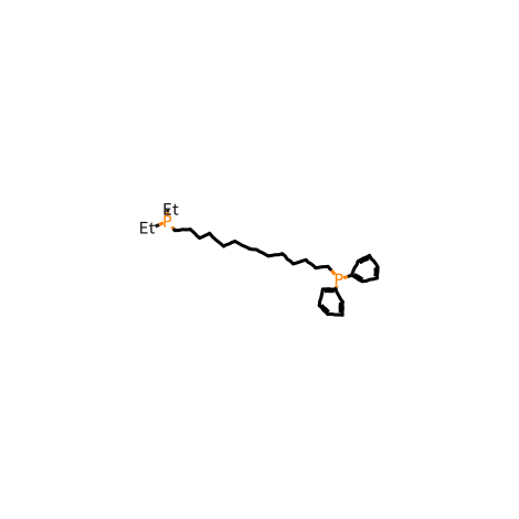 CCP(CC)CCCCCCCCCCCCCCP(c1ccccc1)c1ccccc1